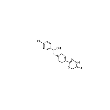 O=C1CSC(C2=CCN(CC(O)c3ccc(Cl)cc3)CC2)=NN1